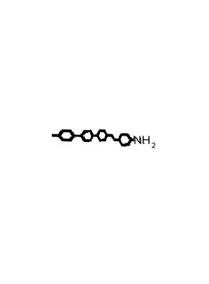 CC1CCC(C2CCC(C3CCC(CCC4CCC(N)CC4)CC3)CC2)CC1